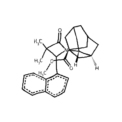 COC(=O)[C@]12CC3CC(C1)[C@@H](N1C(=O)C(C)(C)C1c1cccc4ccccc14)[C@@H](C3)C2